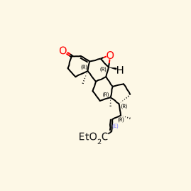 CCOC(=O)/C=C/[C@@H](C)[C@H]1CCC2C3C(CC[C@@]21C)[C@@]1(C)CCC(=O)C=C1C1O[C@@H]13